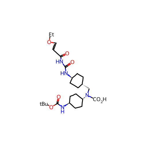 CCOC=CC(=O)NC(=O)N[C@H]1CC[C@H](CN(C(=O)O)[C@H]2CC[C@H](NC(=O)OC(C)(C)C)CC2)CC1